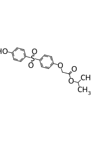 CC(C)OC(=O)COc1ccc(S(=O)(=O)c2ccc(O)cc2)cc1